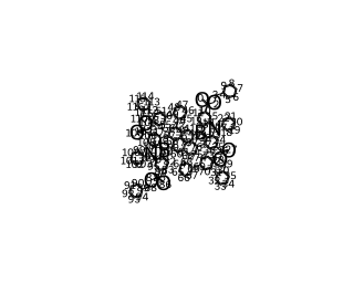 O=C(OCc1ccccc1)c1ccc2c(c1)N(c1ccccc1)c1cc(C(=O)OCc3ccccc3)cc3c1B2c1cc2c(-c4ccccc4-c4ccccc4)cc4c5c(cc6c(-c7ccccc7-c7ccccc7)cc-3c1c6c25)B1c2ccc(C(=O)OCc3ccccc3)cc2N(c2ccccc2)c2cc(C(=O)OCc3ccccc3)cc-4c21